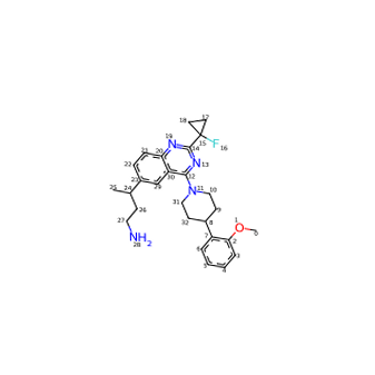 COc1ccccc1C1CCN(c2nc(C3(F)CC3)nc3ccc(C(C)CCN)cc23)CC1